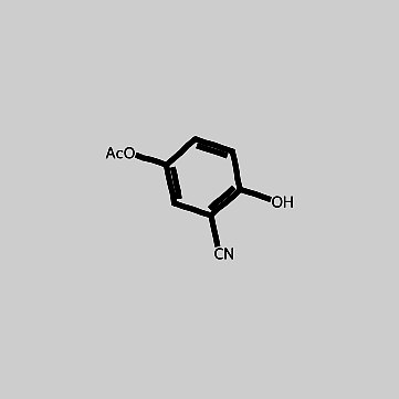 CC(=O)Oc1ccc(O)c(C#N)c1